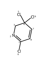 ClC1=NCC(Cl)(Cl)C=C1